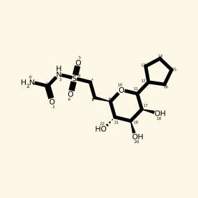 NC(=O)NS(=O)(=O)CC[C@H]1OC(C2CCCC2)[C@@H](O)[C@@H](O)[C@@H]1O